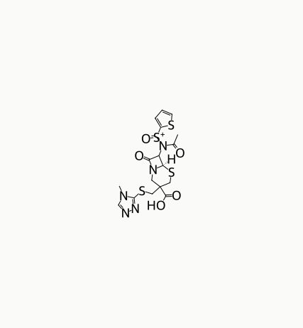 CC(=O)N(C1C(=O)N2CC(CSc3nncn3C)(C(=O)O)CS[C@H]12)[S+]([O-])c1cccs1